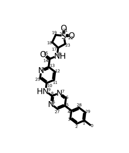 Cc1ccc(-c2cnc(Nc3ccc(C(=O)NC4CCS(=O)(=O)C4)nc3)nc2)cc1